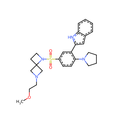 COCCN1CC2(CCN2S(=O)(=O)c2ccc(N3CCCC3)c(-c3cc4ccccc4[nH]3)c2)C1